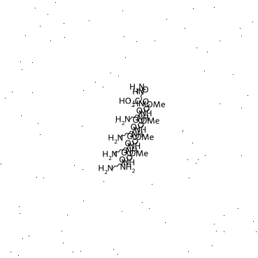 COc1ccc(NC(=O)[C@H](CCCCN)NC(=O)c2cc(NC(=O)[C@H](CCCCCN)NC(=O)c3cc(NC(=O)[C@H](CCCCCN)NC(=O)c4cc(NC(=O)[C@@H](N)CCCCN)ccc4OC)ccc3OC)ccc2OC)cc1C(=O)N[C@@H](CCCNC(N)=O)C(=O)O